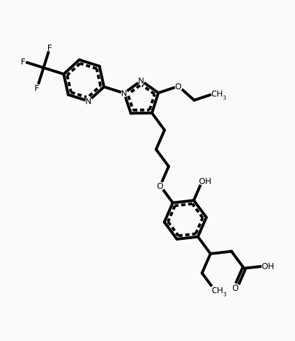 CCOc1nn(-c2ccc(C(F)(F)F)cn2)cc1CCCOc1ccc(C(CC)CC(=O)O)cc1O